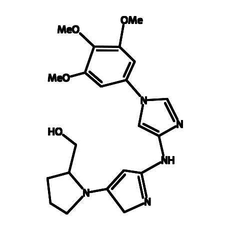 COc1cc(-n2cnc(NC3=NCC(N4CCCC4CO)=C3)c2)cc(OC)c1OC